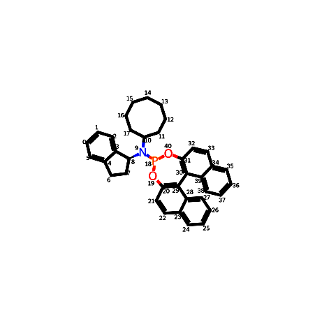 c1ccc2c(c1)CC[C@@H]2N(C1CCCCCCC1)p1oc2ccc3ccccc3c2c2c(ccc3ccccc32)o1